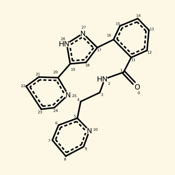 O=C(NCCc1ccccn1)c1ccccc1-c1cc(-c2ccccn2)[nH]n1